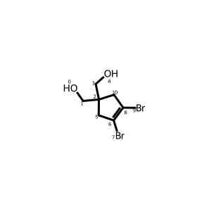 OCC1(CO)CC(Br)=C(Br)C1